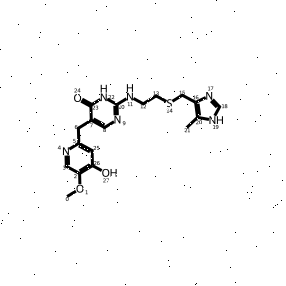 COc1cnc(Cc2cnc(NCCSCc3nc[nH]c3C)[nH]c2=O)cc1O